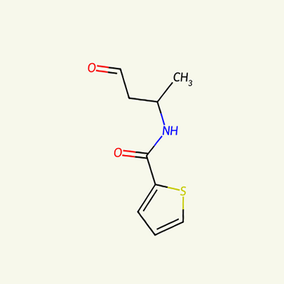 CC(CC=O)NC(=O)c1cccs1